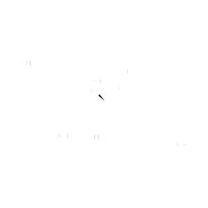 C#CCC1=C(C)[C@](O)(/C=C/C(C)=C\C(=O)OC)C(C)(C)CC1=O